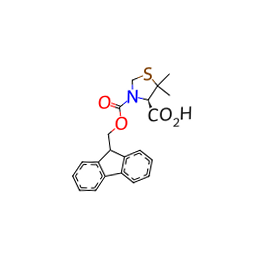 CC1(C)SCN(C(=O)OCC2c3ccccc3-c3ccccc32)[C@@H]1C(=O)O